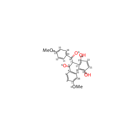 COc1ccc(C(=O)C(C(=O)c2ccc(OC)cc2)c2cc(O)ccc2O)cc1